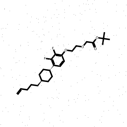 C=CCCC[C@H]1CC[C@H](c2ccc(OCCOCC(=O)OC(C)(C)C)c(F)c2F)CC1